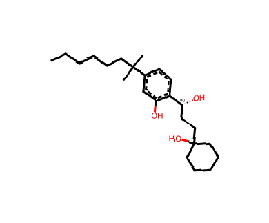 CCCCCCC(C)(C)c1ccc([C@H](O)CCC2(O)CCCCC2)c(O)c1